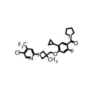 CC1(COc2cc(F)c(C(=O)N3CCCC3)cc2C2CC2)CN(c2cc(C(F)(F)F)c(Cl)cn2)C1